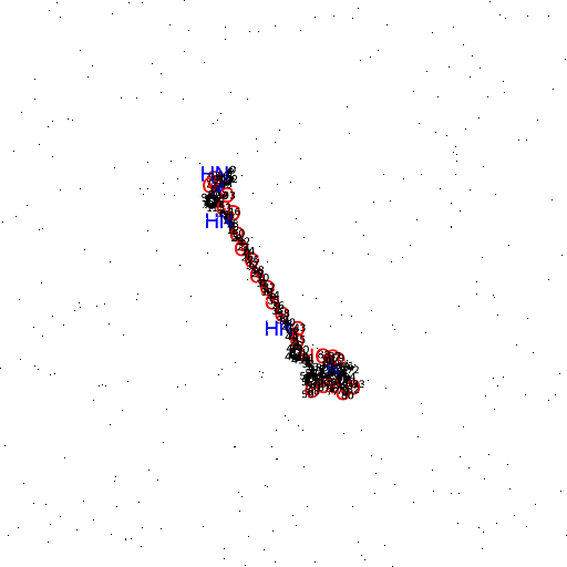 C=C1CCC(N2C(=O)c3cccc(OCC(=O)NCCOCCOCCOCCOCCOCCOCCOCCNC(=O)COc4cccc(CCCc5ccc(OC)c(OC)c5C5CCN(C(=O)[C@@H](CC)c6cc(OC)c(OC)c(OC)c6)C(C(=O)O)C5)c4)c3C2=O)C(=O)N1